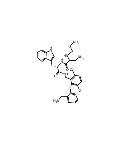 NCc1cccnc1Sc1c(Cl)ccc(Cl)c1CNC(=O)[C@H](Cc1c[nH]c2ccccc12)NC(=O)[C@H](CN)NCON